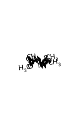 COc1cc(OC)cc(C2CN(c3ncnc4cc(OC)c(OC)cc34)CCN2)c1